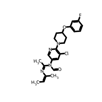 C/C=C(C)\N=C(\C)N(C=O)c1cnc(N2CCC(Oc3cccc(F)c3)CC2)c(Cl)c1